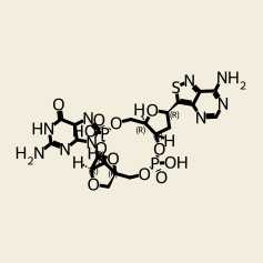 NC1=NC2C(N=CN2[C@@H]2O[C@@]34CO[C@@H]2[C@@H]3OP(=O)(O)OC[C@H]2O[C@@H](c3snc5c(N)ncnc35)C[C@@H]2OP(=O)(O)OC4)C(=O)N1